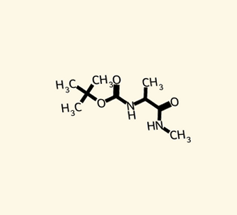 CNC(=O)C(C)NC(=O)OC(C)(C)C